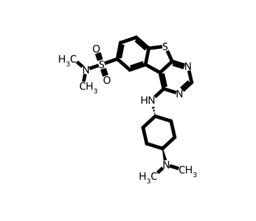 CN(C)S(=O)(=O)c1ccc2sc3ncnc(N[C@H]4CC[C@H](N(C)C)CC4)c3c2c1